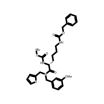 COc1cccc(CN(Cc2cccs2)C(=O)[C@@H](CCCCNC(=O)OCc2ccccc2)NC(=O)OC(C)(C)C)c1